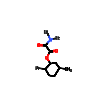 CCN(CC)C(=O)C(=O)OC1CC(C)CCC1C(C)C